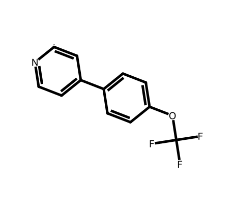 FC(F)(F)Oc1ccc(-c2c[c]ncc2)cc1